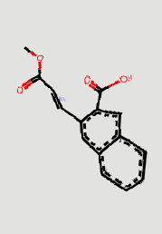 COC(=O)/C=C/c1cc2ccccc2cc1C(=O)O